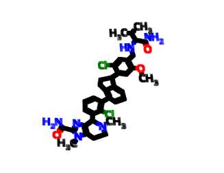 COc1cc(C2CCc3c(-c4cccc(C5c6nc(C(N)=O)n(C)c6CCN5C)c4Cl)cccc32)c(Cl)cc1CNC(C(N)=O)C(C)C